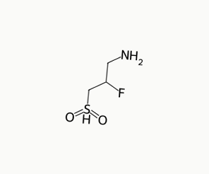 NCC(F)C[SH](=O)=O